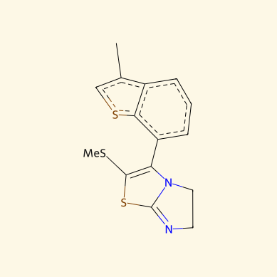 CSC1=C(c2cccc3c(C)csc23)N2CCN=C2S1